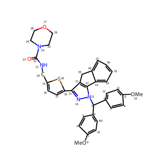 COc1ccc(C(c2ccc(OC)cc2)n2nc(-c3ccc(CNC(=O)N4CCOCC4)s3)c3c2-c2ccccc2C3)cc1